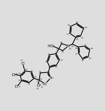 OC1(c2ccc(C3=NO[C@@](c4cc(Cl)c(Cl)c(Cl)c4)(C(F)(F)F)C3)cc2)CN(C(c2ccccc2)c2ccccc2)C1